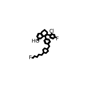 Oc1ccc2c(c1)C(c1ccc(CC3CCC(CCCCCF)CC3)cc1)=C(c1ccc(F)cc1Cl)CCC2